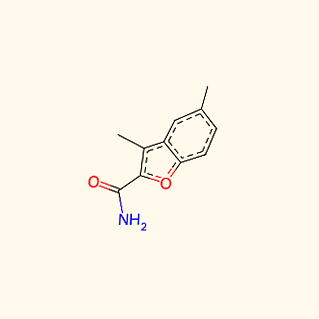 Cc1ccc2oc(C(N)=O)c(C)c2c1